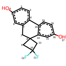 Oc1ccc2c(c1)CC1(CC(F)(F)C1)c1cc(O)ccc1-2